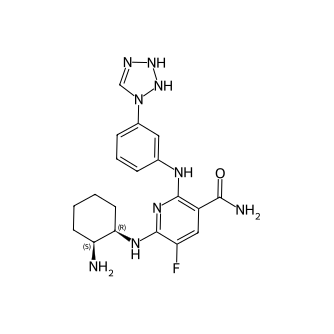 NC(=O)c1cc(F)c(N[C@@H]2CCCC[C@@H]2N)nc1Nc1cccc(N2C=NNN2)c1